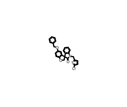 O=C1N(Cc2ccc(Cl)s2)c2ccccc2C12COc1ccc(OCc3ccccc3)cc12